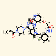 C=CC(=O)N1CCN(c2nc(=O)n3c4nc(c(F)cc24)-c2c(F)cccc2NC(=O)COc2ccnc(C(C)C)c2-3)CC1